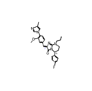 CCCN1CC[C@@H](c2ccc(F)cc2)N2C(=O)/C(=C/c3ccc(-n4cnc(C)c4)c(OC)c3)N=C12